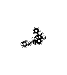 Cc1c(-c2ccccc2)oc2c(C(=O)NCCN3CCOCC3)cccc2c1=O